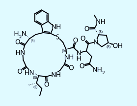 CC[C@H](C)[C@@H]1NC(=O)CNC(=O)[C@H](N)Cc2c([nH]c3ccccc23)SC[C@@H](C(=O)NC(CC(N)=O)C(=O)N2C[C@H](O)C[C@H]2C(=O)NC)NC(=O)CNC1=O